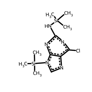 C[Si](C)(C)Nc1nc(Cl)c2ncn([Si](C)(C)C)c2n1